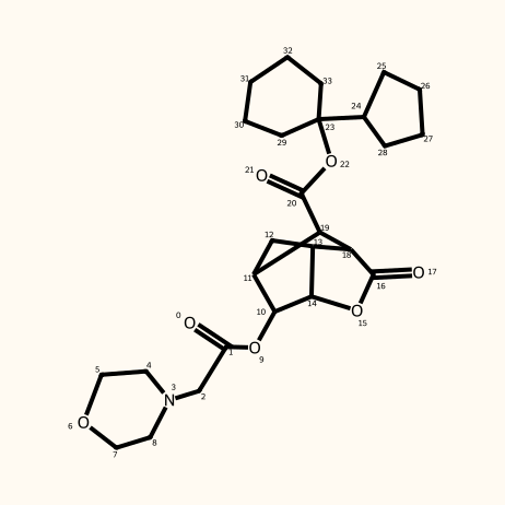 O=C(CN1CCOCC1)OC1C2CC3C1OC(=O)C3C2C(=O)OC1(C2CCCC2)CCCCC1